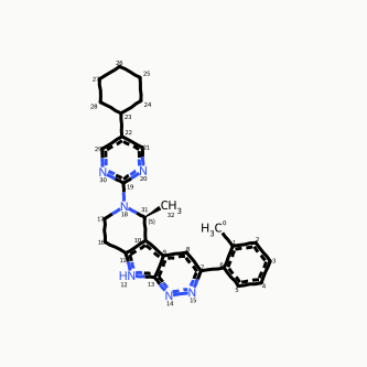 Cc1ccccc1-c1cc2c3c([nH]c2nn1)CCN(c1ncc(C2CCCCC2)cn1)[C@H]3C